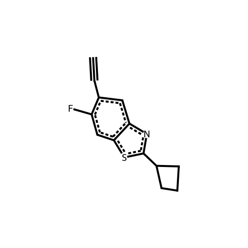 C#Cc1cc2nc(C3CCC3)sc2cc1F